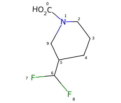 O=C(O)N1CCCC(C(F)F)C1